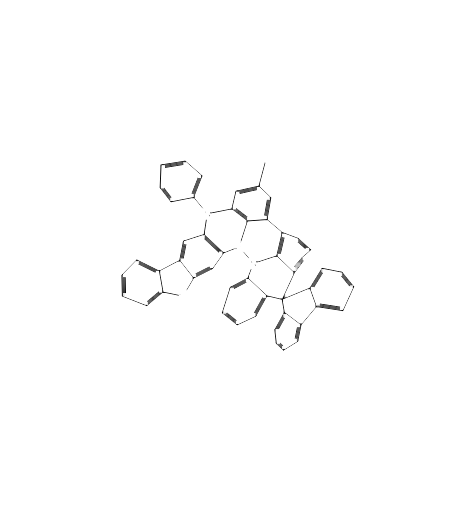 Cc1cc2c3c(c1)N(c1ccccc1)c1cc4c(cc1B3N1c3ccccc3C3(c5ccccc5-c5ccccc53)c3cccc-2c31)sc1ccccc14